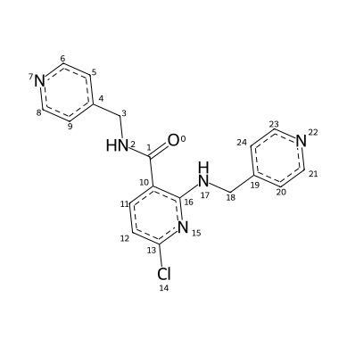 O=C(NCc1ccncc1)c1ccc(Cl)nc1NCc1ccncc1